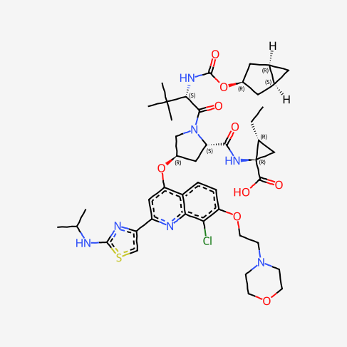 CC[C@@H]1C[C@]1(NC(=O)[C@@H]1C[C@@H](Oc2cc(-c3csc(NC(C)C)n3)nc3c(Cl)c(OCCN4CCOCC4)ccc23)CN1C(=O)[C@@H](NC(=O)O[C@@H]1C[C@@H]2C[C@@H]2C1)C(C)(C)C)C(=O)O